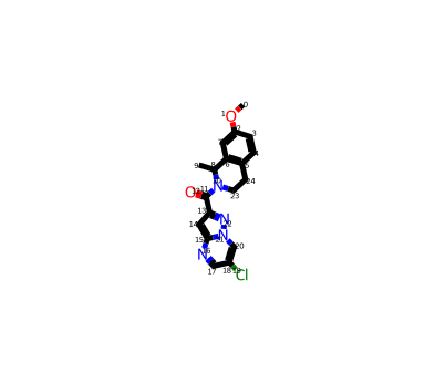 COc1ccc2c(c1)C(C)N(C(=O)c1cc3ncc(Cl)cn3n1)CC2